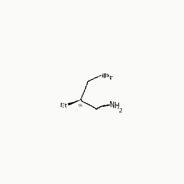 CC[C@H](CN)CC(C)C